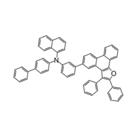 c1ccc(-c2ccc(N(c3cccc(-c4ccc5c6ccccc6c6oc(-c7ccccc7)c(-c7ccccc7)c6c5c4)c3)c3cccc4ccccc34)cc2)cc1